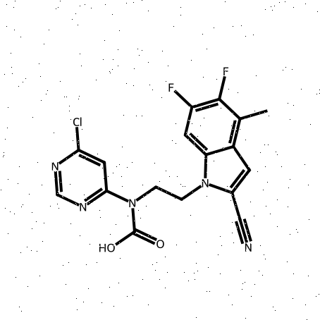 Cc1c(F)c(F)cc2c1cc(C#N)n2CCN(C(=O)O)c1cc(Cl)ncn1